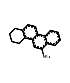 CCCCc1cc2c3c(ccc2c2ccccc12)CCCC3